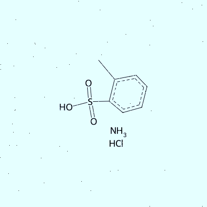 Cc1ccccc1S(=O)(=O)O.Cl.N